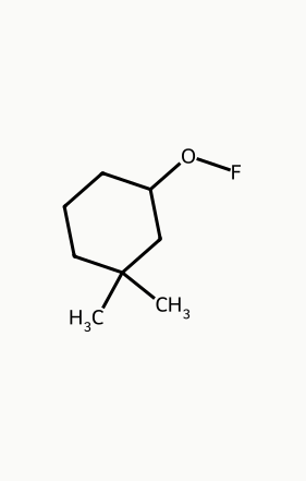 CC1(C)CCCC(OF)C1